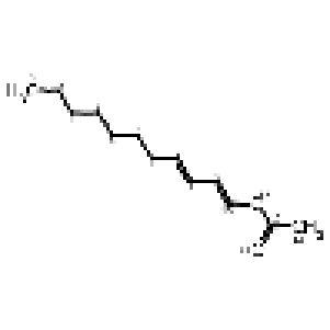 CCCCCCCC=CC=COC(C)=O